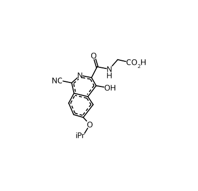 CC(C)Oc1ccc2c(C#N)nc(C(=O)NCC(=O)O)c(O)c2c1